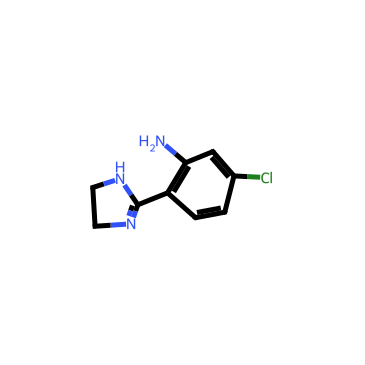 Nc1cc(Cl)ccc1C1=NCCN1